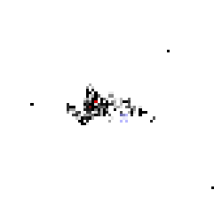 C=C(F)/C=C\CCC(=C)c1c(F)cc2c(N3CC4CCC(C3)N4C(=O)OC(C)(C)C)nc(OC[C@@]34CCCN3C[C@H](F)C4)nc2c1F